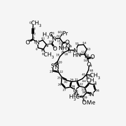 CC#CC(=O)N1C[C@H](C)[C@H](C(=O)N(C)[C@H](C(=O)N[C@H]2Cc3nc(cs3)-c3ccc4c(c3)c(c(-c3cccnc3[C@H](C)OC)n4CC)CC(C)(C)COC(=O)[C@@H]3CCCN(N3)C2=O)C(C)C)C1